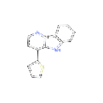 c1csc(-c2ccnc3c2[nH]c2ccccc23)c1